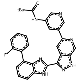 CC(C)(C)C(=O)Nc1cncc(-c2cc3c(-c4nc5c(-c6ccccc6F)cccc5[nH]4)n[nH]c3cn2)c1